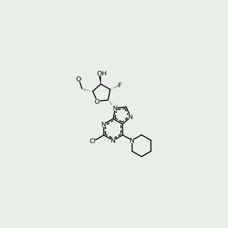 [O]C[C@H]1O[C@@H](n2cnc3c(N4CCCCC4)nc(Cl)nc32)[C@@H](F)[C@@H]1O